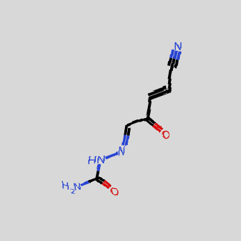 N#CC=CC(=O)C=NNC(N)=O